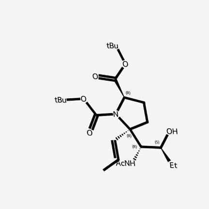 CC=C[C@@]1([C@@H](NC(C)=O)[C@@H](O)CC)CC[C@H](C(=O)OC(C)(C)C)N1C(=O)OC(C)(C)C